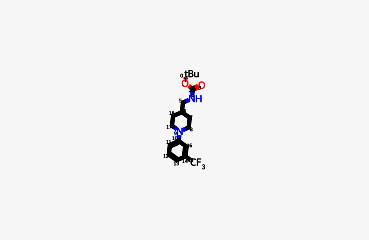 CC(C)(C)OC(=O)NCC1CCN(c2cccc(C(F)(F)F)c2)CC1